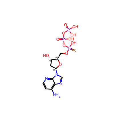 Nc1ccnc2c1ncn2[C@H]1C[C@H](O)[C@@H](COP(O)(=S)OP(=O)(O)OP(=O)(O)O)O1